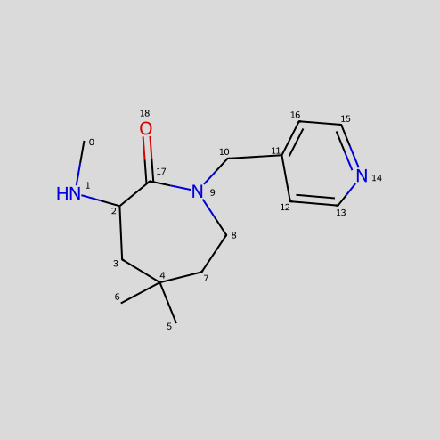 CNC1CC(C)(C)CCN(Cc2ccncc2)C1=O